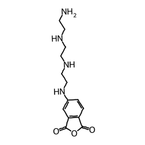 NCCNCCNCCNc1ccc2c(c1)C(=O)OC2=O